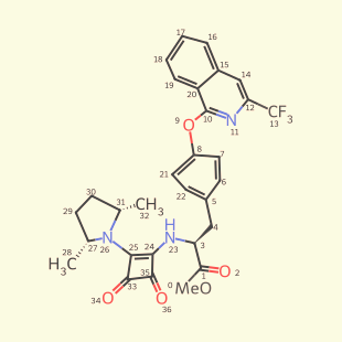 COC(=O)[C@H](Cc1ccc(Oc2nc(C(F)(F)F)cc3ccccc23)cc1)Nc1c(N2[C@H](C)CC[C@@H]2C)c(=O)c1=O